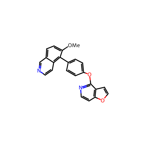 COc1ccc2cnccc2c1-c1ccc(Oc2nccc3occc23)cc1